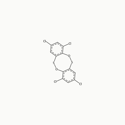 Clc1cc(Cl)c2c(c1)SOc1c(Cl)cc(Cl)cc1SO2